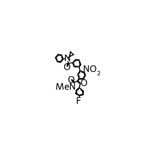 CNC(=O)c1c(-c2ccc(F)cc2)oc2cc([N+](=O)[O-])c(-c3cccc(C(=O)N(c4ccccc4)C4CC4)c3)cc12